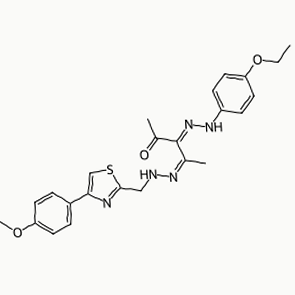 CCOc1ccc(N/N=C(C(C)=O)\C(C)=N/NCc2nc(-c3ccc(OC)cc3)cs2)cc1